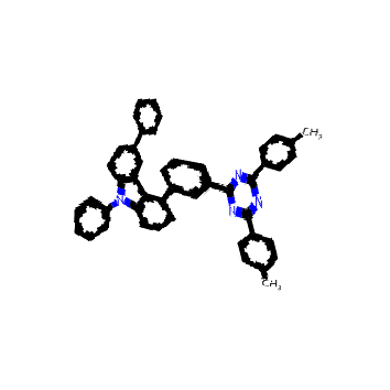 Cc1ccc(-c2nc(-c3ccc(C)cc3)nc(-c3cccc(-c4cccc5c4c4cc(-c6ccccc6)ccc4n5-c4ccccc4)c3)n2)cc1